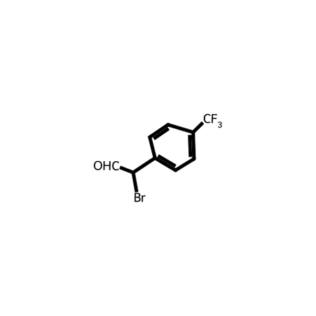 O=CC(Br)c1ccc(C(F)(F)F)cc1